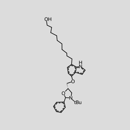 CC(C)(C)N1C[C@@H](COc2ccc(CCCCCCCCCCO)c3[nH]ccc23)OC1c1ccccc1